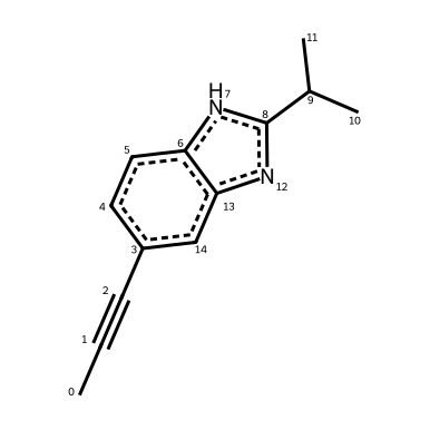 CC#Cc1ccc2[nH]c(C(C)C)nc2c1